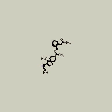 C=C(OCC1=C(CC(N)=O)CCC=C1)N1CCC2(CC1)OCC(/C=C\C=N)C2C